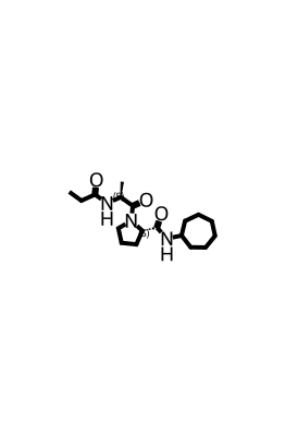 CCC(=O)N[C@@H](C)C(=O)N1CCC[C@H]1C(=O)NC1CCCCCC1